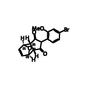 COc1cc(Br)ccc1C1C(=O)[C@@H]2[C@H](C1=O)[C@H]1C=C[C@@H]2O1